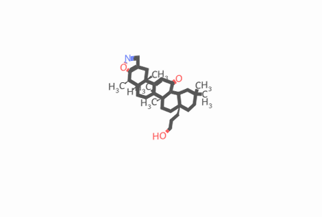 C[C@@H]1c2oncc2C[C@]2(C)C3=CC(=O)C4C5CC(C)(C)CC[C@]5(CCCO)CC[C@@]4(C)[C@]3(C)CC[C@@H]12